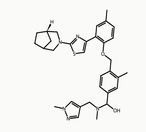 Cc1ccc(OCc2ccc(C(O)N(C)Cc3cnn(C)c3)cc2C)c(-c2csc(N3CC4CC[C@@H](C4)C3)n2)c1